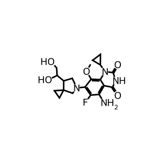 COc1c(N2CC(C(O)CO)C3(CC3)C2)c(F)c(N)c2c(=O)[nH]c(=O)n(C3CC3)c12